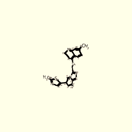 Cc1ccc2c(OCc3nnc4c(F)cc(-c5cnc(C)s5)cn34)ccnc2c1